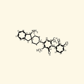 Cc1c(N2CCC3(CC2)Cc2ccccc2C3N)nc(C)n(-c2cccc(Cl)c2Cl)c1=O